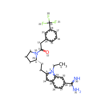 CCn1c(CC[C@@H]2CCCN2C(=O)Cc2cccc(C(F)(F)F)c2)cc2ccc(C(=N)N)cc21